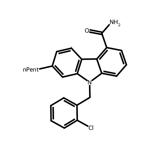 CCCCCc1c[c]c2c3c(C(N)=O)cccc3n(Cc3ccccc3Cl)c2c1